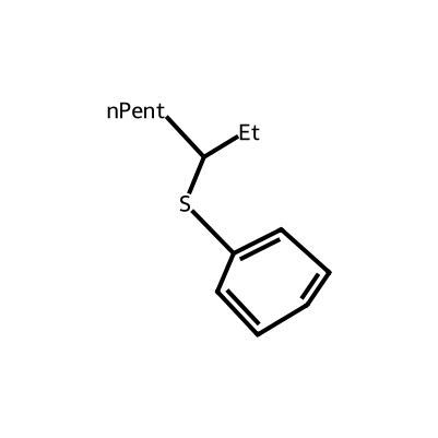 C[CH]CCCC(CC)Sc1ccccc1